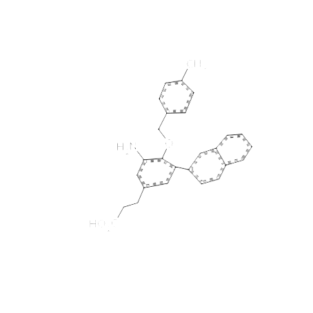 Cc1ccc(COc2c(N)cc(CCC(=O)O)cc2-c2ccc3ccccc3c2)cc1